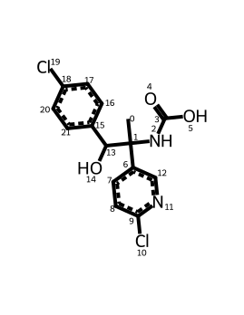 CC(NC(=O)O)(c1ccc(Cl)nc1)C(O)c1ccc(Cl)cc1